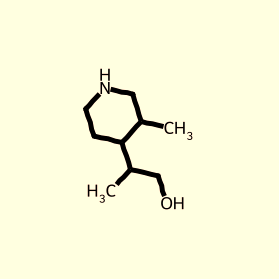 CC(CO)C1CCNCC1C